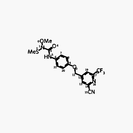 CON(SC)C(=O)Nc1ccc(OCc2cc(C#N)nc(C(F)(F)F)c2)cc1